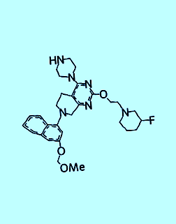 COCOc1cc(N2CCc3c(nc(OCCN4CCCC(F)C4)nc3N3CCNCC3)C2)c2ccccc2c1